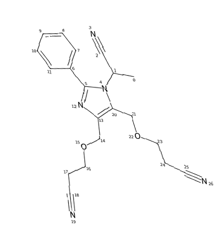 CC(C#N)n1c(-c2ccccc2)nc(COCCC#N)c1COCCC#N